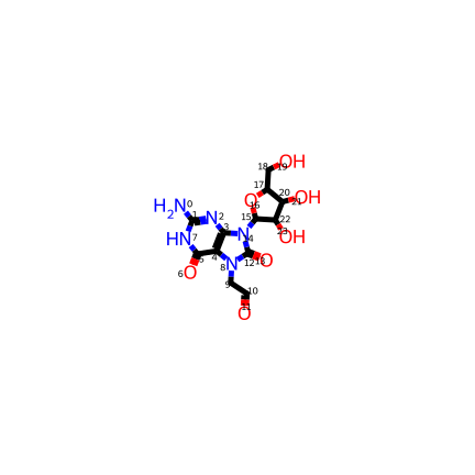 Nc1nc2c(c(=O)[nH]1)n(CC=O)c(=O)n2C1OC(CO)C(O)C1O